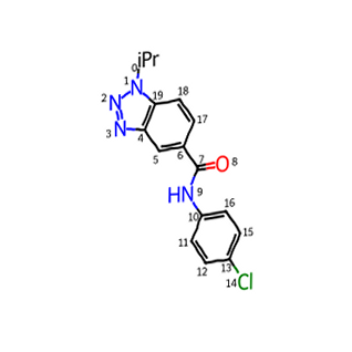 CC(C)n1nnc2cc(C(=O)Nc3ccc(Cl)cc3)ccc21